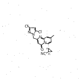 Cc1cc([C@@H]2C[C@H]2C#N)n2c(=O)cc(Cn3nc(Cl)cc3Cl)nc2c1